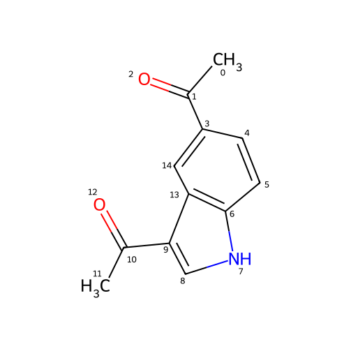 CC(=O)c1ccc2[nH]cc(C(C)=O)c2c1